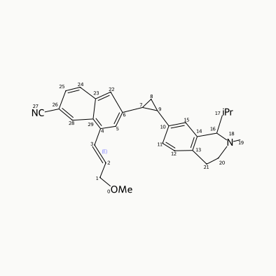 COC/C=C/c1cc(C2CC2c2ccc3c(c2)C(C(C)C)N(C)CC3)cc2ccc(C#N)cc12